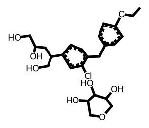 CCOc1ccc(Cc2ccc(C(CO)CC(O)CO)cc2Cl)cc1.OC1COCC(O)C1O